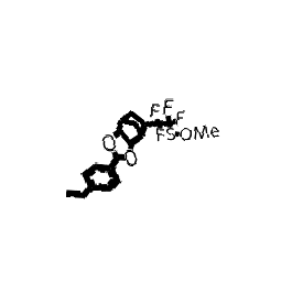 C=Cc1ccc(C2OC3C4CC(C3O2)C(C(F)(F)C(F)(F)SOC)C4)cc1